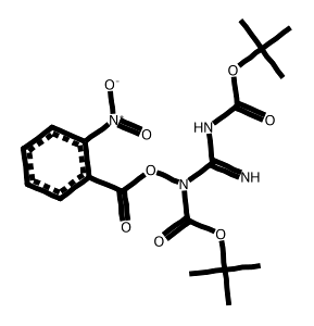 CC(C)(C)OC(=O)NC(=N)N(OC(=O)c1ccccc1[N+](=O)[O-])C(=O)OC(C)(C)C